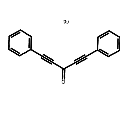 O=C(C#Cc1ccccc1)C#Cc1ccccc1.[Ru]